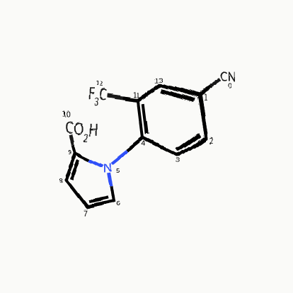 N#Cc1ccc(-n2cccc2C(=O)O)c(C(F)(F)F)c1